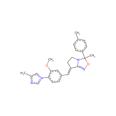 COc1cc(/C=C2\CCN3C2=NOC3(C)c2ccc(C)cc2)ccc1-n1cnc(C)c1